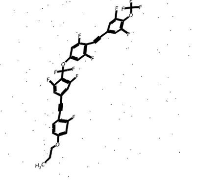 CCCOc1ccc(C#Cc2cc(F)c(C(F)(F)Oc3cc(F)c(C#Cc4cc(F)c(OC(F)(F)F)c(F)c4)c(F)c3)c(F)c2)c(F)c1